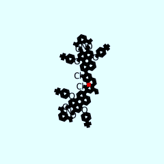 C=Cc1cc(-c2ccc3c4c(Oc5ccc(C(C)(C)C)cc5)cc5c6c(cc(Oc7ccc(C(C)(C)C)cc7)c(c7cccc2c73)c64)C(=O)N(c2c(C(C)C)cccc2C(C)C)C5=O)c(Cl)cc1/C=C\c1cc(-c2ccc3c4c(Oc5ccc(C(C)(C)C)cc5)cc5c6c(cc(Oc7ccc(C(C)(C)C)cc7)c(c7cccc2c73)c64)C(=O)N(c2c(C(C)C)cccc2C(C)C)C5=O)c(Cl)cc1C